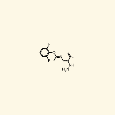 C=C(C)/C(=C\N=C(/C)Oc1c(F)cccc1F)NN